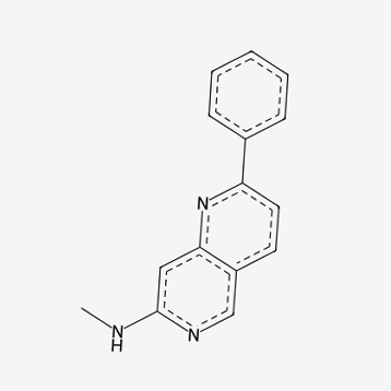 CNc1cc2nc(-c3ccccc3)ccc2cn1